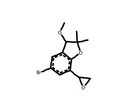 COC1c2cc(Br)cc(C3CO3)c2OC1(C)C